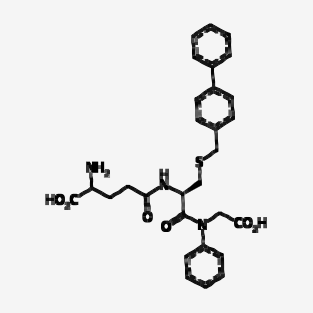 NC(CCC(=O)N[C@@H](CSCc1ccc(-c2ccccc2)cc1)C(=O)N(CC(=O)O)c1ccccc1)C(=O)O